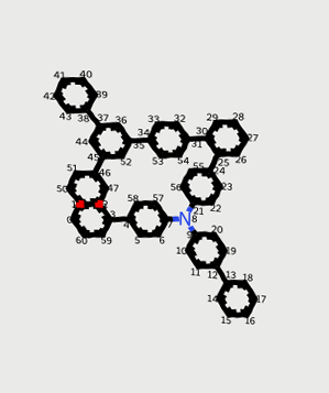 c1ccc(-c2ccc(N(c3ccc(-c4ccccc4)cc3)c3ccc(-c4ccccc4-c4ccc(-c5cc(-c6ccccc6)cc(-c6ccccc6)c5)cc4)cc3)cc2)cc1